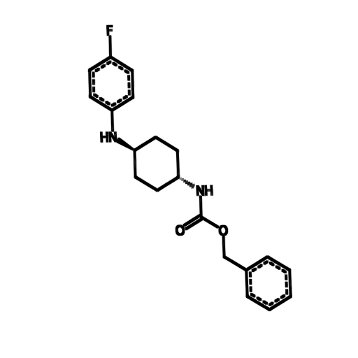 O=C(N[C@H]1CC[C@H](Nc2ccc(F)cc2)CC1)OCc1ccccc1